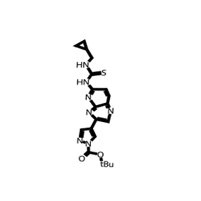 CC(C)(C)OC(=O)n1cc(-c2cnc3ccc(NC(=S)NCC4CC4)nc3n2)cn1